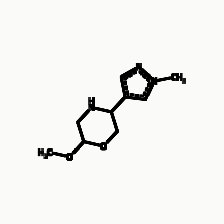 COC1CNC(c2cnn(C)c2)CO1